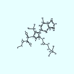 CCOC(=O)C(=O)c1nn(COCC[Si](C)(C)C)c(-c2cc(C)c3ncnn3c2)c1C(C)C